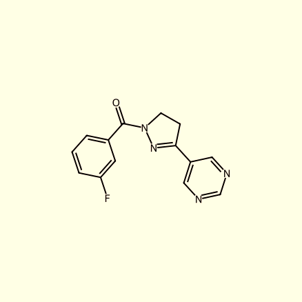 O=C(c1cccc(F)c1)N1CCC(c2cncnc2)=N1